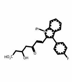 CC(C)n1c(C=CC(=O)CC(O)CC(=O)O)c(-c2ccc(F)cc2)c2ccccc21